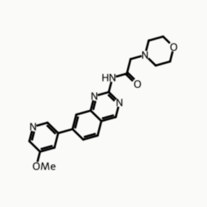 COc1cncc(-c2ccc3cnc(NC(=O)CN4CCOCC4)nc3c2)c1